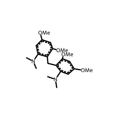 COc1cc(OC)c(Cc2c(OC)cc(OC)cc2N(C)C)c(N(C)C)c1